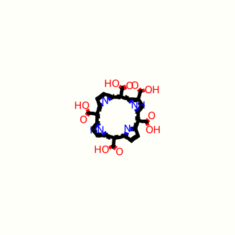 O=C(O)c1c2nc(c(C(=O)O)c3cc(C(=O)O)c([nH]3)c(C(=O)O)c3nc(c(C(=O)O)c4ccc1[nH]4)C=C3)C=C2